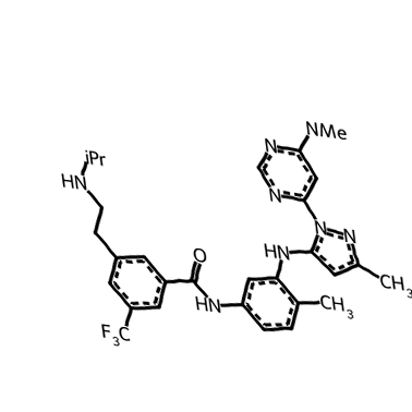 CNc1cc(-n2nc(C)cc2Nc2cc(NC(=O)c3cc(CCNC(C)C)cc(C(F)(F)F)c3)ccc2C)ncn1